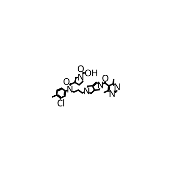 Cc1ccc(N(CCCN2CC3=CN(C(=O)c4c(C)ncnc4C)CC3C2)C(=O)C2CCN(C(=O)O)C2)cc1Cl